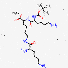 COC(=O)C(CCCCNC(=O)C(N)CCCCN)NC(=O)C(CCCCN)NC(=O)OC(C)(C)C